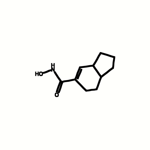 O=C(NO)C1=CC2CCCC2CC1